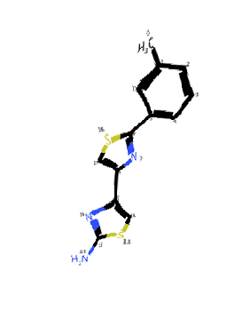 Cc1cccc(-c2nc(-c3csc(N)n3)cs2)c1